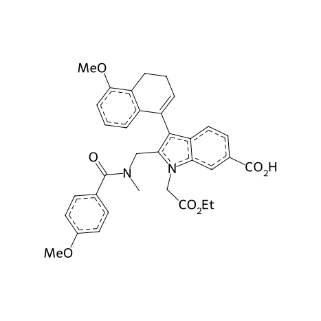 CCOC(=O)Cn1c(CN(C)C(=O)c2ccc(OC)cc2)c(C2=CCCc3c(OC)cccc32)c2ccc(C(=O)O)cc21